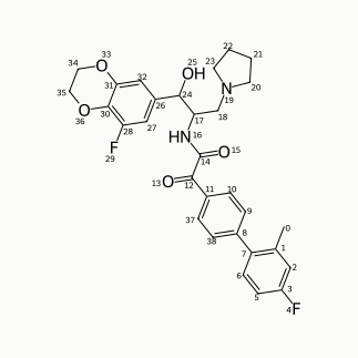 Cc1cc(F)ccc1-c1ccc(C(=O)C(=O)NC(CN2CCCC2)C(O)c2cc(F)c3c(c2)OCCO3)cc1